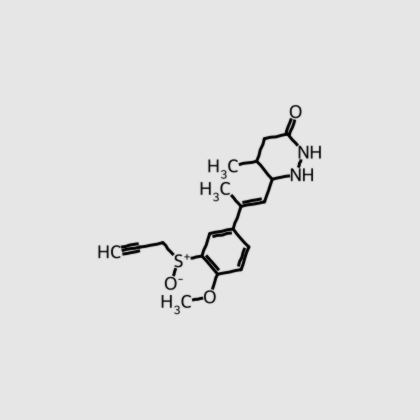 C#CC[S+]([O-])c1cc(/C(C)=C/C2NNC(=O)CC2C)ccc1OC